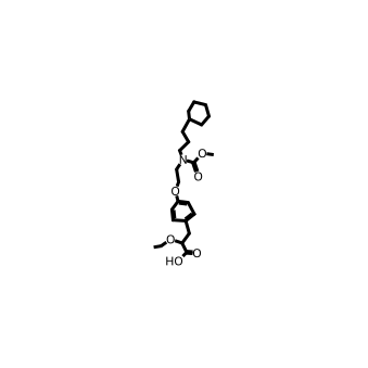 CCOC(Cc1ccc(OCCN(CCCC2CCCCC2)C(=O)OC)cc1)C(=O)O